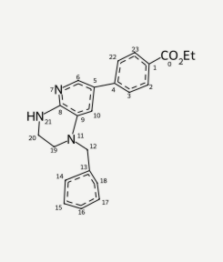 CCOC(=O)c1ccc(-c2cnc3c(c2)N(Cc2ccccc2)CCN3)cc1